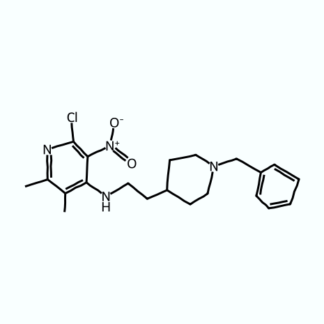 Cc1nc(Cl)c([N+](=O)[O-])c(NCCC2CCN(Cc3ccccc3)CC2)c1C